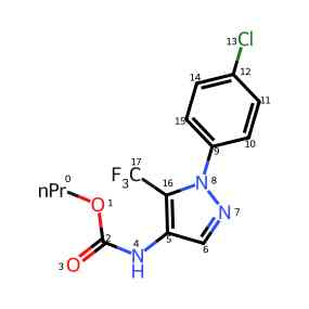 CCCOC(=O)Nc1cnn(-c2ccc(Cl)cc2)c1C(F)(F)F